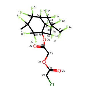 CC1(F)C(F)(F)C2(F)C(F)(F)C(F)(C(F)F)C(F)(F)C(OC(=O)COC(=O)CCl)(C1(F)F)C2(F)F